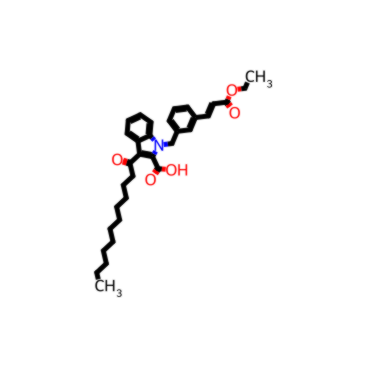 CCCCCCCCCCCC(=O)c1c(C(=O)O)n(Cc2cccc(C=CC(=O)OCC)c2)c2ccccc12